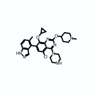 Cc1ccc2[nH]ncc2c1-c1cc(Cl)c2c(N3CCNCC3)nc(OC3CCN(C)CC3)nc2c1OC1CC1